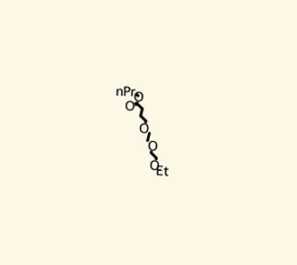 CCCOC(=O)CCCOCCOCCOCC